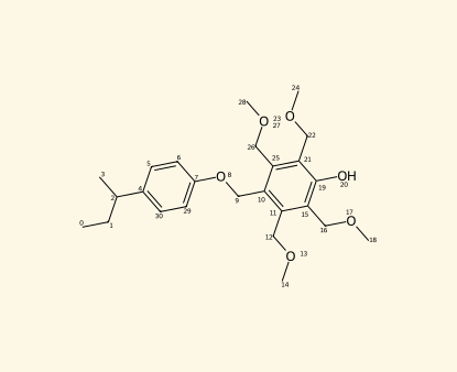 CCC(C)c1ccc(OCc2c(COC)c(COC)c(O)c(COC)c2COC)cc1